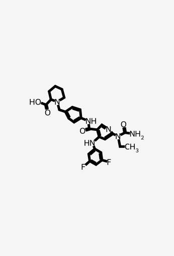 CCN(C(N)=O)c1cc(Nc2cc(F)cc(F)c2)c(C(=O)Nc2ccc(CN3CCCCC3C(=O)O)cc2)cn1